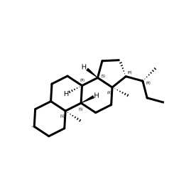 CC[C@@H](C)[C@H]1CC[C@H]2[C@@H]3CCC4C[CH]CC[C@]4(C)[C@H]3CC[C@]12C